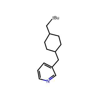 CC(C)(C)CC1CCC(Cc2cccnc2)CC1